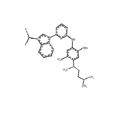 COc1cc(N(C)CCN(C)C)c([N+](=O)[O-])cc1Nc1nccc(-c2cn(C(F)F)c3ccccc23)n1